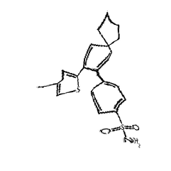 Cc1csc(C2=CC3(C=C2c2ccc(S(N)(=O)=O)cc2)CCCC3)c1